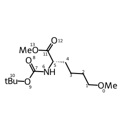 COCCCC[C@H](NC(=O)OC(C)(C)C)C(=O)OC